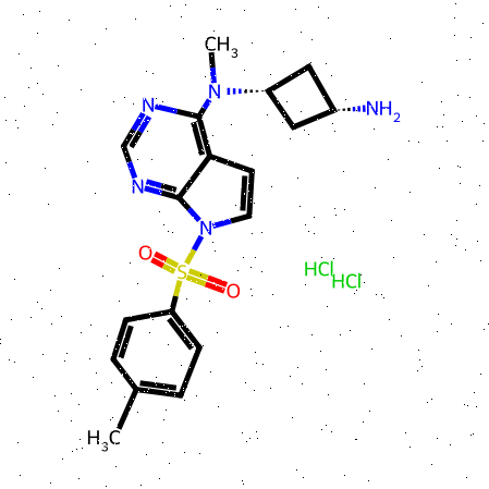 Cc1ccc(S(=O)(=O)n2ccc3c(N(C)[C@H]4C[C@@H](N)C4)ncnc32)cc1.Cl.Cl